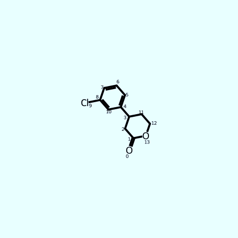 O=C1CC(c2cccc(Cl)c2)CCO1